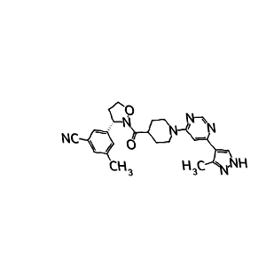 Cc1cc(C#N)cc([C@@H]2CCON2C(=O)C2CCN(c3cc(-c4c[nH]nc4C)ncn3)CC2)c1